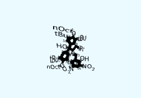 CCCCCCCCOc1c(C(C)(C)C)cc(C(O)(c2cc(C(C)(C)C)c(OCCCCCCCC)c(C(C)(C)C)c2)C(CC(C)C)N=Cc2cc([N+](=O)[O-])cc([N+](=O)[O-])c2O)cc1C(C)(C)C